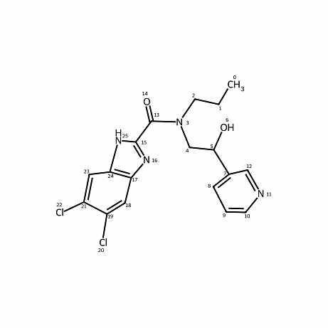 CCCN(CC(O)c1cccnc1)C(=O)c1nc2cc(Cl)c(Cl)cc2[nH]1